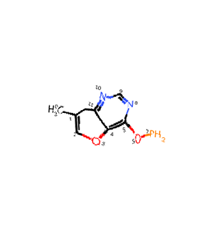 Cc1coc2c(OP)ncnc12